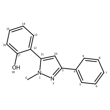 Cn1nc(-c2ccccc2)cc1-c1ccccc1O